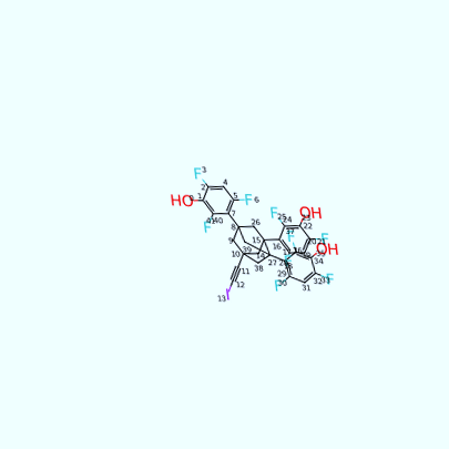 Oc1c(F)cc(F)c(C23CC4(C#CI)CC(c5c(F)cc(F)c(O)c5F)(C2)C(c2c(F)cc(F)c(O)c2F)(C4)C3)c1F